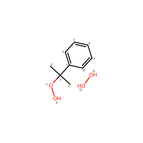 CC(C)(OO)c1ccccc1.OO